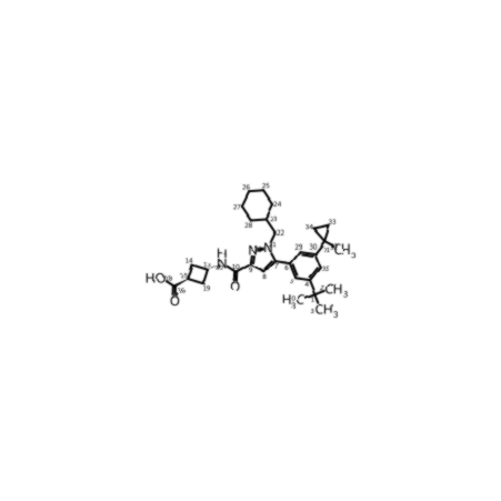 CC(C)(C)c1cc(-c2cc(C(=O)N[C@H]3C[C@H](C(=O)O)C3)nn2CC2CCCCC2)cc(C2(C)CC2)c1